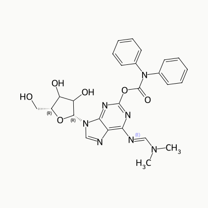 CN(C)/C=N/c1nc(OC(=O)N(c2ccccc2)c2ccccc2)nc2c1ncn2[C@@H]1O[C@H](CO)C(O)C1O